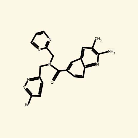 Cc1cc2cc(C(=O)N(Cc3ccc(Br)nn3)Cc3ncccn3)ccc2nc1N